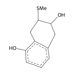 CSC1Cc2c(O)cccc2CC1O